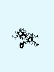 CC(N[C@@H]1[C@@H](OCc2ccccc2)O[C@H](CO)[C@@H](O)[C@@H]1O)=C1C(=O)N(C)C(=O)N(C)C1=O